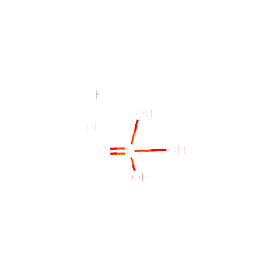 O=P(O)(O)O.[BH4-].[K+]